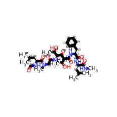 CNC(=O)[C@H](CC(C)C)NC(=O)[C@H](Cc1ccccc1)NC(=O)C(C(=O)[C@@H](NC(=O)CN(C)C(=O)[C@H](CC(C)C)NC=O)[C@@H](C)O)[C@@H](C)O